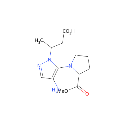 COC(=O)C1CCCN1c1c(N)cnn1C(C)CC(=O)O